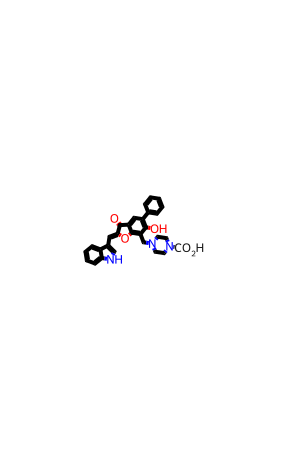 O=C1/C(=C/c2c[nH]c3ccccc23)Oc2c1cc(-c1ccccc1)c(O)c2CN1CCN(C(=O)O)CC1